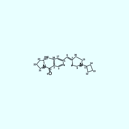 O=C(c1ccc(C=C2CCN(C3CCC3)CC2)cc1F)N1CCCC1